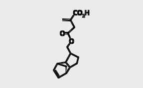 C=C(CC(=O)OCC1CCC2C3C=CC(C3)C12)C(=O)O